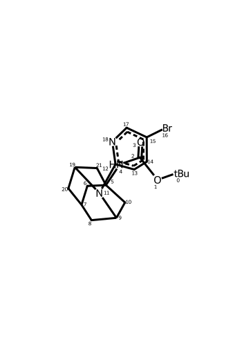 CC(C)(C)OC(=O)NC12CC3CC(C1)N(c1ccc(Br)cn1)C(C3)C2